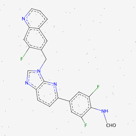 O=CNc1c(F)cc(-c2ccc3ncn(Cc4cc5cccnc5cc4F)c3n2)cc1F